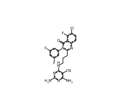 N#Cc1c(N)nc(N)nc1NCCCc1nc2ccc(Cl)c(F)c2c(=O)n1-c1cc(F)cc(F)c1